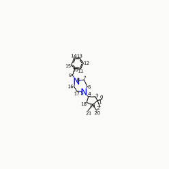 CC1(C)CC(N2CCN(Cc3ccccc3)CC2)CC1(C)C